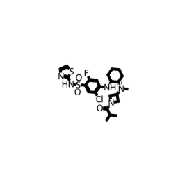 CC(C)C(=O)N1CC(N(C)[C@H]2CCCC[C@@H]2Nc2cc(F)c(S(=O)(=O)Nc3nccs3)cc2Cl)C1